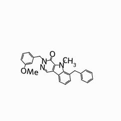 COc1cccc(Cn2ncc3c4cccc(Cc5ccccc5)c4n(C)c3c2=O)c1